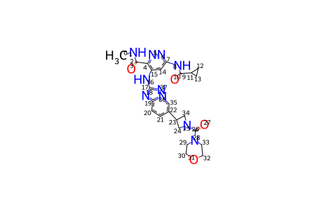 CNC(=O)c1nnc(NC(=O)C2CC2)cc1Nc1nc2ccc(C3CN(C(=O)N4CCOCC4)C3)cn2n1